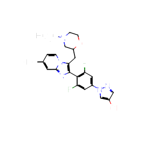 Cc1ccn2c(CC3CN(C(=O)O)CCO3)c(-c3c(F)cc(-n4cc(O)cn4)cc3F)nc2c1